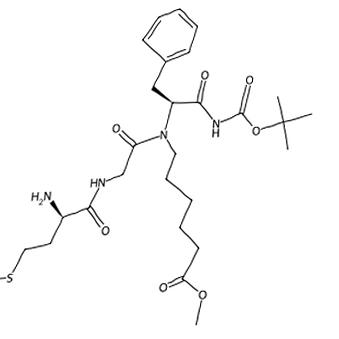 COC(=O)CCCCCN(C(=O)CNC(=O)[C@H](N)CCSC)[C@@H](Cc1ccccc1)C(=O)NC(=O)OC(C)(C)C